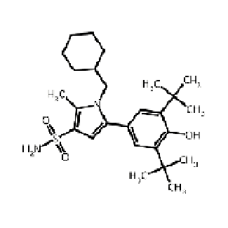 Cc1c(S(N)(=O)=O)cc(-c2cc(C(C)(C)C)c(O)c(C(C)(C)C)c2)n1CC1CCCCC1